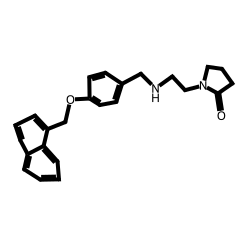 O=C1CCCN1CCNCc1ccc(OCc2cccc3ccccc23)cc1